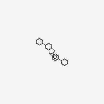 O=C1C2c3ccc(-c4ccccc4)cc3C1c1ccc(-c3ccccc3)cc12